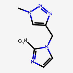 Cn1cc(Cn2ccnc2[N+](=O)[O-])nn1